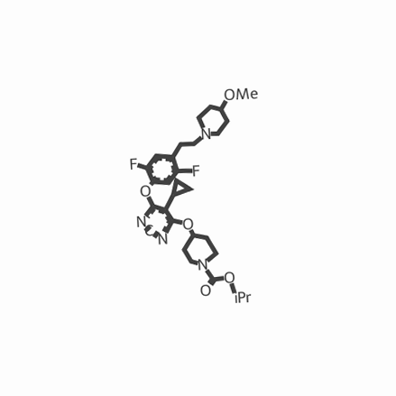 COC1CCN(CCc2cc(F)c(Oc3ncnc(OC4CCN(C(=O)OC(C)C)CC4)c3C3CC3)cc2F)CC1